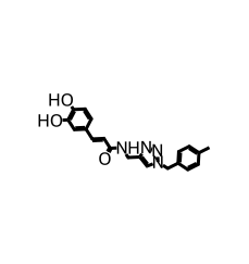 Cc1ccc(Cn2cc(CNC(=O)/C=C/c3ccc(O)c(O)c3)nn2)cc1